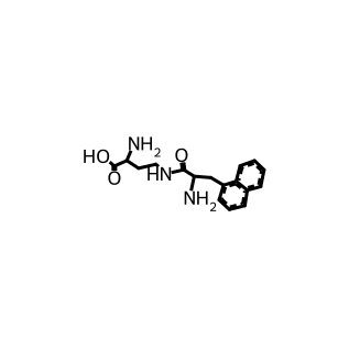 NC(CCNC(=O)C(N)Cc1cccc2ccccc12)C(=O)O